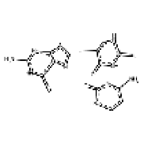 Cc1c[nH]c(=O)[nH]c1=O.Nc1cc[nH]c(=O)n1.Nc1nc2nc[nH]c2c(=O)[nH]1